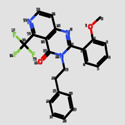 COc1ccccc1-c1nc2ccnc(C(F)(F)F)c2c(=O)n1CCc1ccccc1